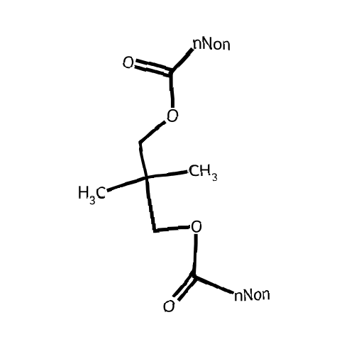 CCCCCCCCCC(=O)OCC(C)(C)COC(=O)CCCCCCCCC